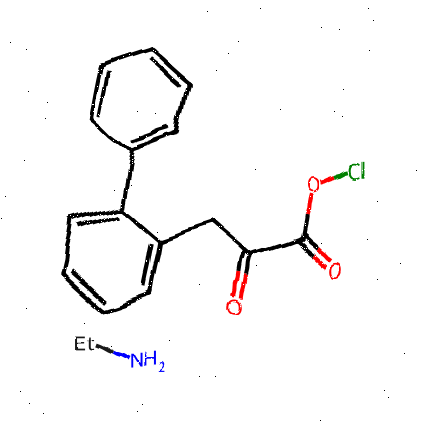 CCN.O=C(Cc1ccccc1-c1ccccc1)C(=O)OCl